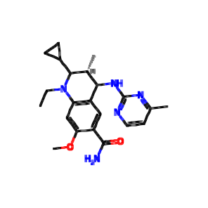 CCN1c2cc(OC)c(C(N)=O)cc2C(Nc2nccc(C)n2)[C@@H](C)C1C1CC1